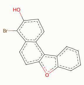 Oc1ccc2c(ccc3oc4ccccc4c32)c1Br